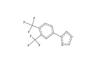 FC(F)(F)c1ccc(-c2c[c]cs2)cc1C(F)(F)F